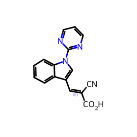 N#C/C(=C\c1cn(-c2ncccn2)c2ccccc12)C(=O)O